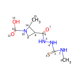 CNC(=S)NNC(=O)C1CN(C(=O)O)C1C